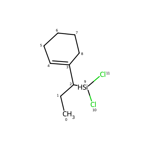 CCC(C1=CCCCC1)[SiH](Cl)Cl